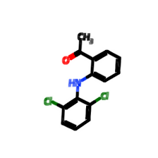 CC(=O)c1ccccc1Nc1c(Cl)cccc1Cl